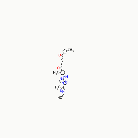 C#CCn1cc(-c2cnc3c(Nc4ccc(C(=O)CCCCCC(=O)[C@H]5CC[C@H](C)C5)c(C)c4)nccn23)c(C(F)(F)F)n1